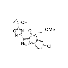 COCCn1c(=O)c2c(-c3noc(C4(O)CC4)n3)ncn2c2ccc(Cl)cc21